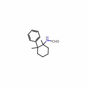 CC1(NC=O)CCCCC1(C)c1ccccc1